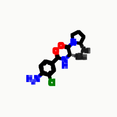 CC(=O)[C@@H]1CCCN1C(=O)[C@@H](NC(=O)c1ccc(N)c(Cl)c1)C(C)(C)C